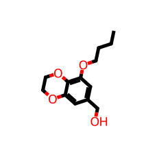 CCCCOc1cc(CO)cc2c1OCCO2